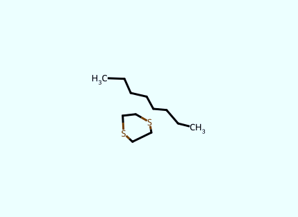 C1CSCCS1.CCCCCCCC